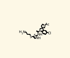 C=C(NC1NC=C(SCCCN)S1)N1CC2(CCN(C(C)=O)C2)c2cc(Cl)ccc21